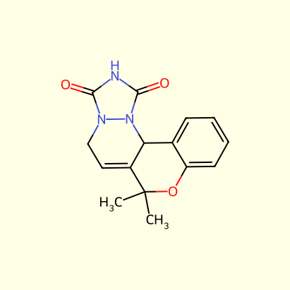 CC1(C)Oc2ccccc2C2C1=CCn1c(=O)[nH]c(=O)n12